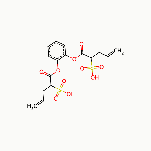 C=CCC(C(=O)Oc1ccccc1OC(=O)C(CC=C)S(=O)(=O)O)S(=O)(=O)O